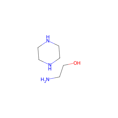 C1CNCCN1.NCCO